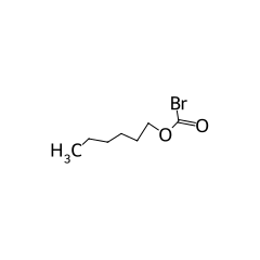 CCCCCCOC(=O)Br